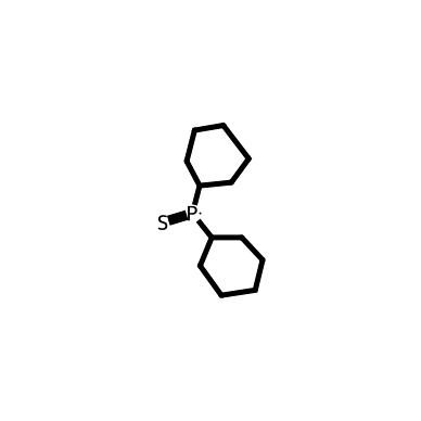 S=[P](C1CCCCC1)C1CCCCC1